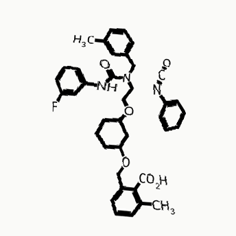 Cc1cccc(CN(CCOC2CCCC(OCc3cccc(C)c3C(=O)O)C2)C(=O)Nc2cccc(F)c2)c1.O=C=Nc1ccccc1